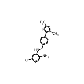 Cn1cc(C(F)(F)F)nc1-c1ccc(CNc2cc(Cl)ncc2N)cc1